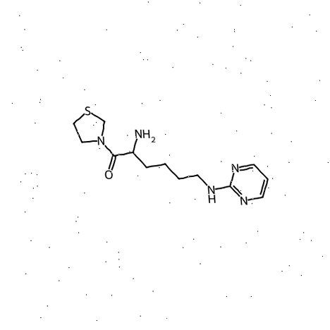 NC(CCCCNc1ncccn1)C(=O)N1CCSC1